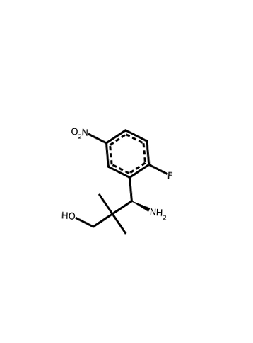 CC(C)(CO)[C@H](N)c1cc([N+](=O)[O-])ccc1F